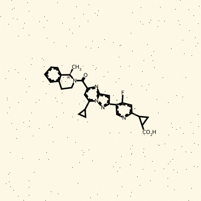 C[C@@H]1c2ccccc2CCN1C(=O)c1cc(C2CC2)n2nc(-c3cnc(C4CC4C(=O)O)cc3F)cc2n1